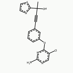 CC(O)(C#Cc1cccc(Oc2nc(N)ncc2Cl)c1)c1nccs1